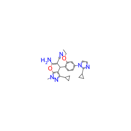 CCOc1cc(-n2ccnc2C2CC2)ccc1C1C(C#N)=C(N)Oc2c1c(C1CC1)nn2C